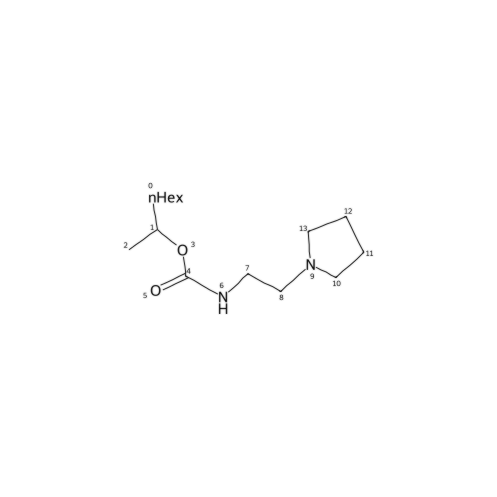 CCCCCCC(C)OC(=O)NCCN1CCCC1